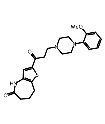 COc1ccccc1N1CCN(CCC(=O)c2cc3c(s2)CCCC(=O)N3)CC1